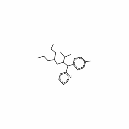 CCCC(CCC)CC(C(C)C)C(c1ccc(C)cc1)c1ccccn1